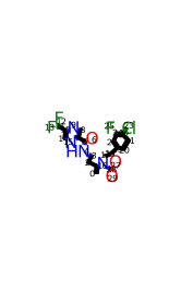 C=C(CCNC(=O)c1cnc(C(F)F)cn1)N1CC(c2ccc(Cl)c(F)c2)OC1=O